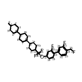 CC1CCC(C2CCC(C3CCC(C(F)(F)Oc4ccc(-c5ccc(CF)c(F)c5)c(F)c4)CC3)CC2)CC1